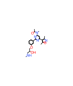 CNCC(O)COc1cccc(-c2nc(-c3c(C)noc3C)cc(N(C)C(C)=O)n2)c1